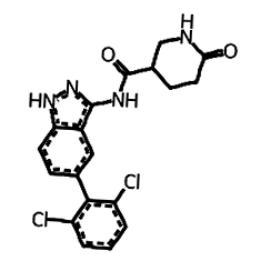 O=C1CCC(C(=O)Nc2n[nH]c3ccc(-c4c(Cl)cccc4Cl)cc23)CN1